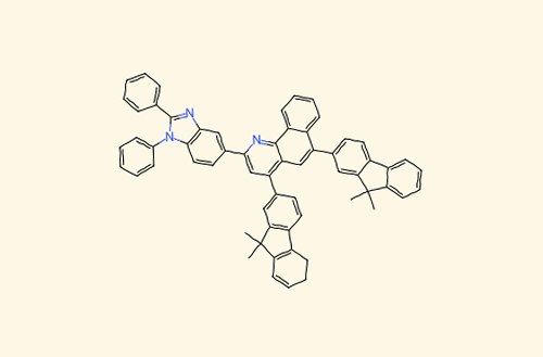 CC1(C)C2=C(CCC=C2)c2ccc(-c3cc(-c4ccc5c(c4)nc(-c4ccccc4)n5-c4ccccc4)nc4c3cc(-c3ccc5c(c3)C(C)(C)c3ccccc3-5)c3ccccc34)cc21